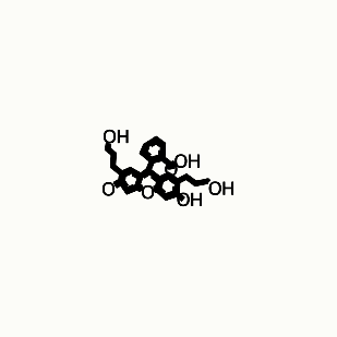 O=C(O)c1ccccc1-c1c2cc(CCCO)c(=O)cc-2oc2cc(O)c(CCCO)cc12